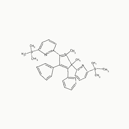 C[Si]1=C(c2cccc([Si](C)(C)C)n2)C(c2ccccc2)=C(c2ccccc2)C1(C)c1cccc([Si](C)(C)C)n1